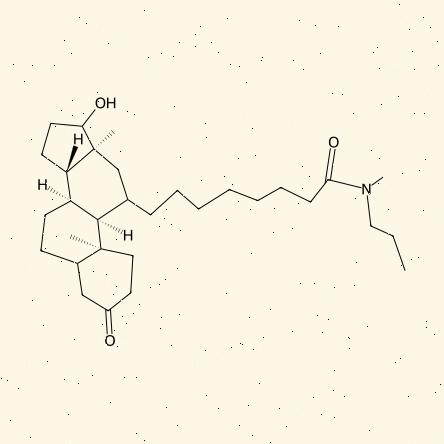 CCCN(C)C(=O)CCCCCCCC1C[C@]2(C)C(O)CC[C@H]2[C@@H]2CCC3CC(=O)CC[C@]3(C)[C@H]12